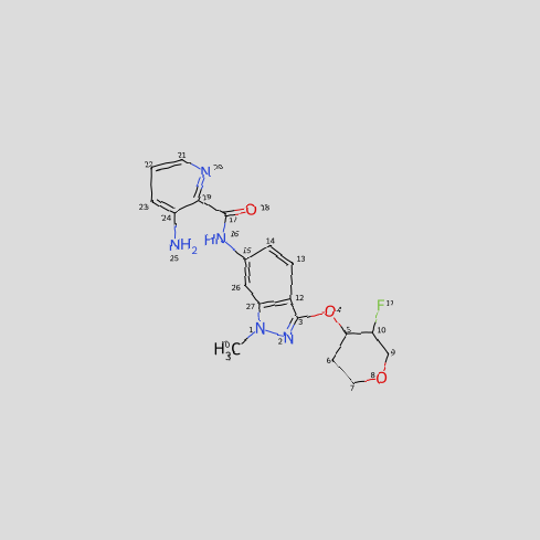 Cn1nc(OC2CCOCC2F)c2ccc(NC(=O)c3ncccc3N)cc21